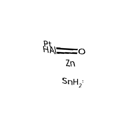 [O]=[AlH].[Pt].[SnH2].[Zn]